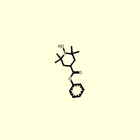 CC1(C)CC(C(=O)Oc2ccccc2)CC(C)(C)N1O